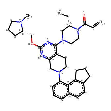 C=CC(=O)N1CCN(c2nc(OC[C@@H]3CCCN3C)nc3c2CCN(c2cccc4ccc5c(c24)CCC5)C3)C[C@@H]1CC#N